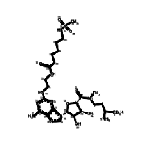 CN(CCC(N)C(=O)O)C(=O)[C@H]1O[C@@H](n2cnc3c(N)nc(NCCNC(=O)CCCCCNS(C)(=O)=O)nc32)[C@H](O)[C@@H]1O